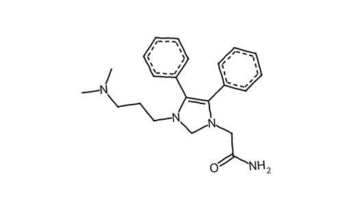 CN(C)CCCN1CN(CC(N)=O)C(c2ccccc2)=C1c1ccccc1